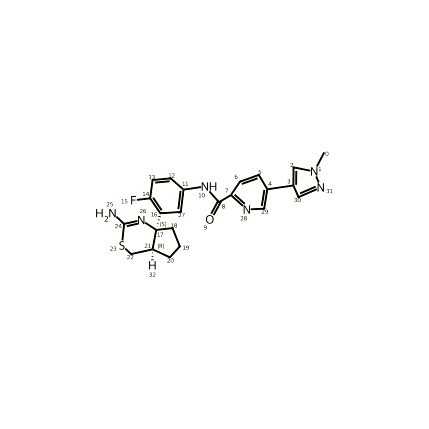 Cn1cc(-c2ccc(C(=O)Nc3ccc(F)c([C@]45CCC[C@H]4CSC(N)=N5)c3)nc2)cn1